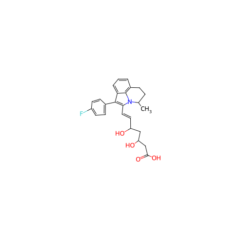 CC1CCc2cccc3c(-c4ccc(F)cc4)c(/C=C/C(O)CC(O)CC(=O)O)n1c23